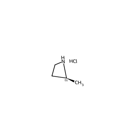 C[C@H]1CCN1.Cl